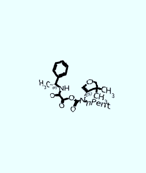 CCCCCN(C(=O)OC(=O)C(=O)N[C@H](C)c1ccccc1)[C@@H]1COCC1(C)C